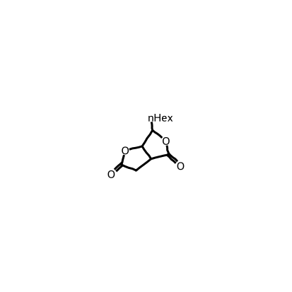 CCCCCCC1OC(=O)C2CC(=O)OC12